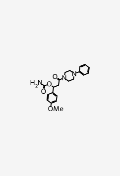 COc1ccc(C(CC(=O)N2CCN(c3ccccc3)CC2)OC(N)=O)cc1